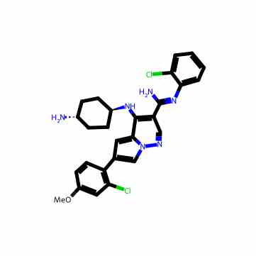 COc1ccc(-c2cc3c(N[C@H]4CC[C@H](N)CC4)c(/C(N)=N/c4ccccc4Cl)cnn3c2)c(Cl)c1